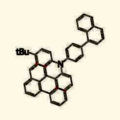 CC(C)(C)c1ccc(N(c2ccc(-c3cccc4ccccc34)cc2)c2ccccc2-c2cccc3cccc(-c4ccccc4)c23)cc1